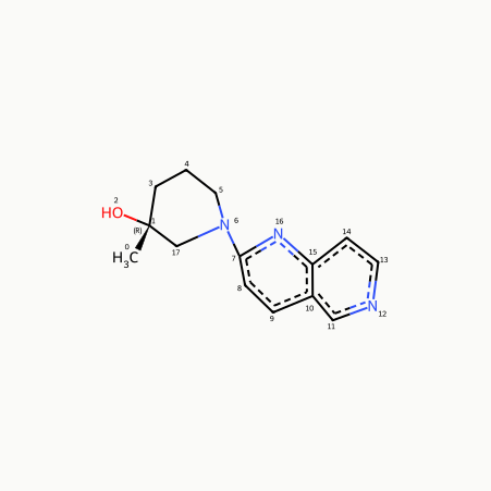 C[C@@]1(O)CCCN(c2ccc3cnccc3n2)C1